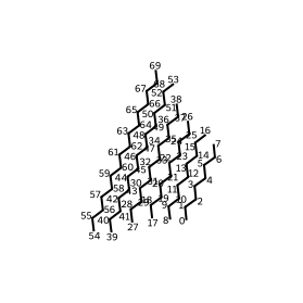 CCCCCCCC.CCCCCCCCC.CCCCCCCCCC.CCCCCCCCCCCC.CCCCCCCCCCCCCCC.CCCCCCCCCCCCCCCC